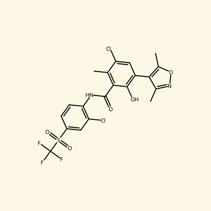 Cc1noc(C)c1-c1cc(Cl)c(C)c(C(=O)Nc2ccc(S(=O)(=O)C(F)(F)F)cc2Cl)c1O